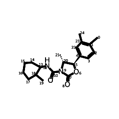 Cc1ccc([C@H]2OC(=O)N(C(=O)NC3CCCCC3C)[C@@H]2C)cc1C